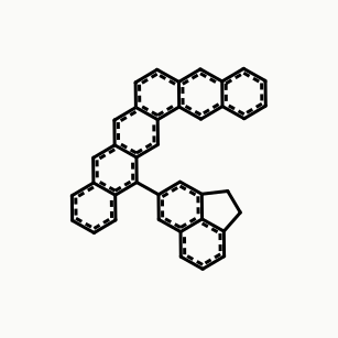 c1ccc2cc3c(ccc4cc5cc6ccccc6c(-c6cc7c8c(cccc8c6)CC7)c5cc43)cc2c1